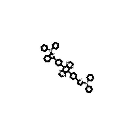 c1ccc(N(c2ccccc2)c2ccc(-c3ccc(-c4c5nccnc5c(-c5ccc(-c6sc(N(c7ccccc7)c7ccccc7)c7ccccc67)cc5)c5nccnc45)cc3)s2)cc1